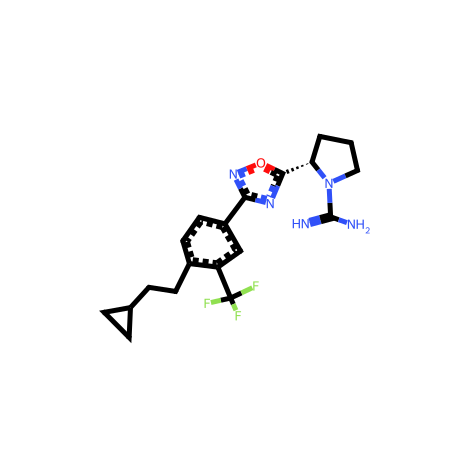 N=C(N)N1CCC[C@H]1c1nc(-c2ccc(CCC3CC3)c(C(F)(F)F)c2)no1